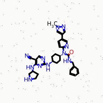 Cn1cc(-c2ccc(N(C(=O)NCc3ccccc3)[C@H]3CC[C@H](Nc4ncc(C#N)c(NC5CCNC5)n4)CC3)nc2)cn1